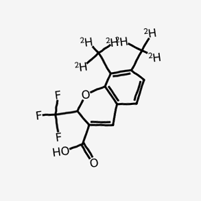 [2H]C([2H])([2H])c1ccc2c(c1C([2H])([2H])[2H])OC(C(F)(F)F)C(C(=O)O)=C2